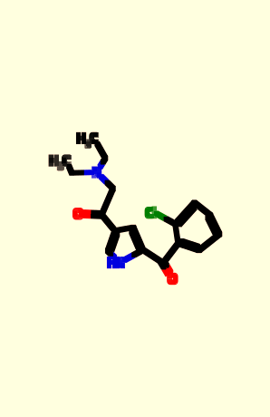 CCN(CC)CC(=O)c1c[nH]c(C(=O)c2ccccc2Cl)c1